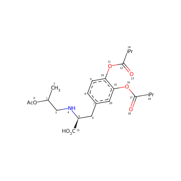 CC(=O)OC(C)CN[C@@H](Cc1ccc(OC(=O)C(C)C)c(OC(=O)C(C)C)c1)C(=O)O